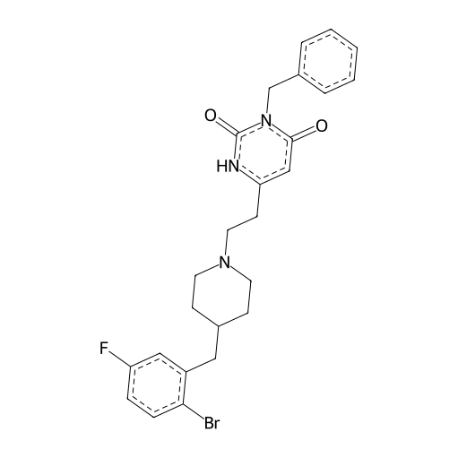 O=c1cc(CCN2CCC(Cc3cc(F)ccc3Br)CC2)[nH]c(=O)n1Cc1ccccc1